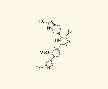 COc1nc(C2=NO[C@H](C3CC3)[C@H](c3ccc4sc(C)nc4c3)N2)ccc1-n1cnc(C)c1